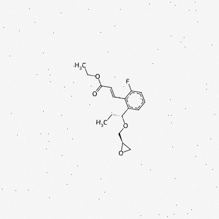 CCOC(=O)/C=C/c1c(F)cccc1[C@@H](CC)OC[C@H]1CO1